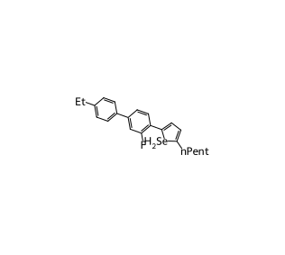 CCCCCC1=CC=C(c2ccc(-c3ccc(CC)cc3)cc2F)[SeH2]1